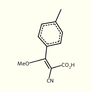 COC(=C(C#N)C(=O)O)c1ccc(C)cc1